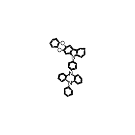 c1ccc(N2c3ccccc3N(c3ccc(-n4c5ccccc5c5cc6c(cc54)Oc4ccccc4O6)cc3)c3ccccc32)cc1